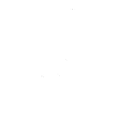 CCCCOC(=O)c1cc(C(N)Cc2nc(-c3ccc(Cl)cc3)c[nH]2)ccc1OCCCC